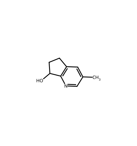 Cc1cnc2c(c1)CCC2O